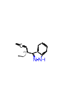 C=C=C[C@@H](CC)c1n[nH]c2ccccc12